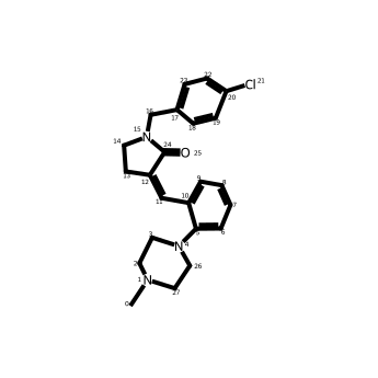 CN1CCN(c2ccccc2C=C2CCN(Cc3ccc(Cl)cc3)C2=O)CC1